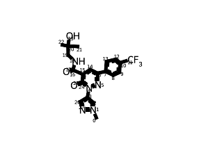 Cn1cc(-n2nc(-c3ccc(C(F)(F)F)cc3)cc(C(=O)NCC(C)(C)O)c2=O)cn1